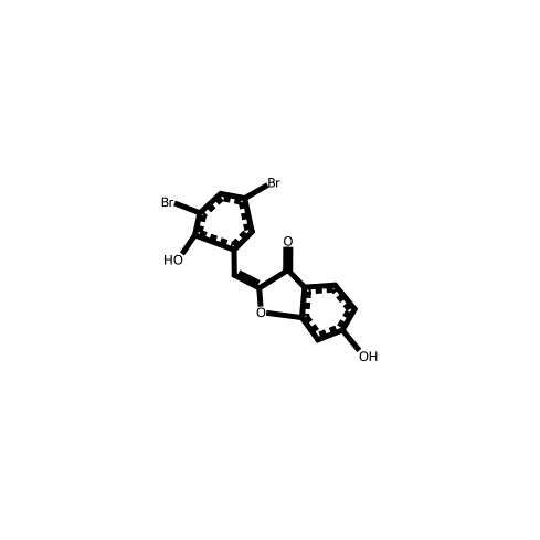 O=C1C(=Cc2cc(Br)cc(Br)c2O)Oc2cc(O)ccc21